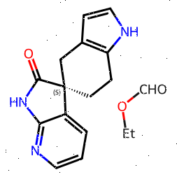 CCOC=O.O=C1Nc2ncccc2[C@@]12CCc1[nH]ccc1C2